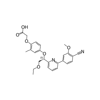 CCOC[C@@H](Oc1ccc(OCC(=O)O)c(C)c1)c1cccc(-c2ccc(C#N)c(OC)c2)n1